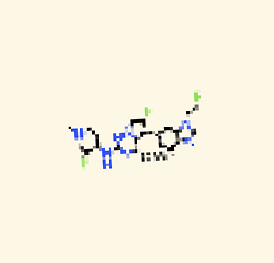 COc1nc(N[C@H]2CCN(C)C[C@H]2F)nn2cc(F)c(-c3ccc4ncn(CCF)c4c3)c12